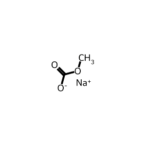 COC(=O)[O-].[Na+]